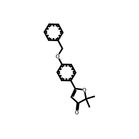 CC1(C)OC(c2ccc(OCc3ccccc3)cc2)=CC1=O